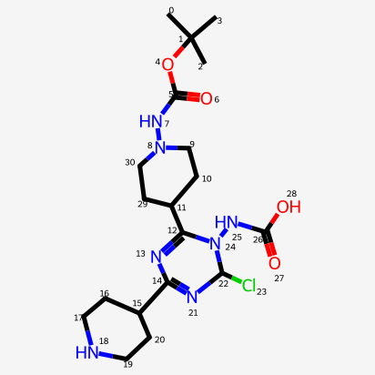 CC(C)(C)OC(=O)NN1CCC(C2=NC(C3CCNCC3)=NC(Cl)N2NC(=O)O)CC1